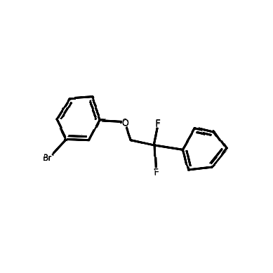 FC(F)(COc1cccc(Br)c1)c1ccccc1